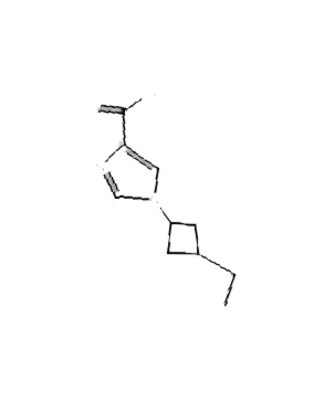 CCC1CC(n2cnc(C(=O)O)c2)C1